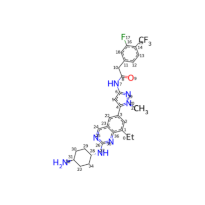 CCc1cc(-c2cc(NC(=O)Cc3ccc(C(F)(F)F)c(F)c3)nn2C)cc2cnc(N[C@H]3CC[C@H](N)CC3)nc12